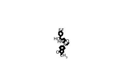 CC1Cc2cc(N3CCOc4cc(C(O)C5CCC(F)(F)CC5)[nH]c43)ccc2C1=O